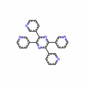 c1cncc(-c2nc(-c3cccnc3)c(-c3cccnc3)nc2-c2cccnc2)c1